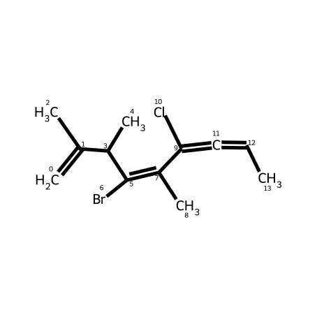 C=C(C)C(C)/C(Br)=C(/C)C(Cl)=C=CC